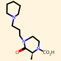 C[C@H]1C(=O)N(CCCN2CCCCC2)CCN1C(=O)O